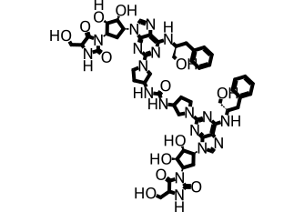 O=C(NC1CCN(c2nc(N[C@H](CO)Cc3ccccc3)c3ncn([C@@H]4C[C@H](N5C(=O)NC(CO)C5=O)[C@@H](O)[C@H]4O)c3n2)C1)NC1CCN(c2nc(N[C@H](CO)Cc3ccccc3)c3ncn([C@@H]4C[C@H](N5C(=O)NC(CO)C5=O)[C@@H](O)[C@H]4O)c3n2)C1